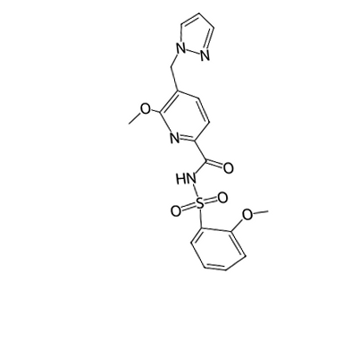 COc1ccccc1S(=O)(=O)NC(=O)c1ccc(Cn2cccn2)c(OC)n1